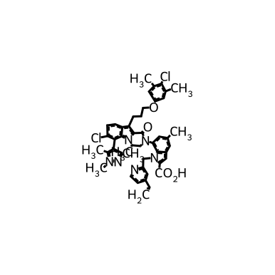 C=Cc1ccnc(Cn2c(C(=O)O)cc3cc(C)cc(N4CC(C)n5c(c(CCCOc6cc(C)c(Cl)c(C)c6)c6ccc(Cl)c(-c7c(C)nn(C)c7C)c65)C4=O)c32)c1